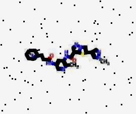 Cc1ncc(NC(=O)CCN2CC3CCC2CC3)cc1NC(=O)c1cnn2cc(-c3cnn(C)c3)sc12